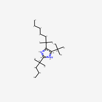 CCCCCC(C)(C)c1nc(C(C)(C)CCC)[nH]c1C(C)(C)C